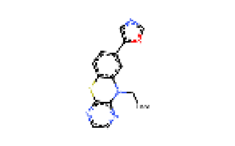 COCN1c2cc(-c3cnco3)ccc2Sc2nccnc21